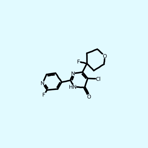 O=c1[nH]c(-c2ccnc(F)c2)nc(C2(F)CCOCC2)c1Cl